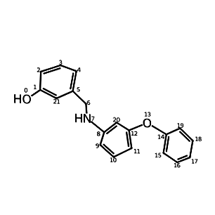 Oc1cccc(CNc2cccc(Oc3ccccc3)c2)c1